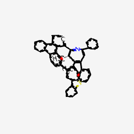 CC1=C(c2ccccc2)C=C(c2ccccc2)N=C(c2cccc3c4ccccc4c4ccc(-c5ccc6sc7ccccc7c6c5)cc4c23)[C@H]1C